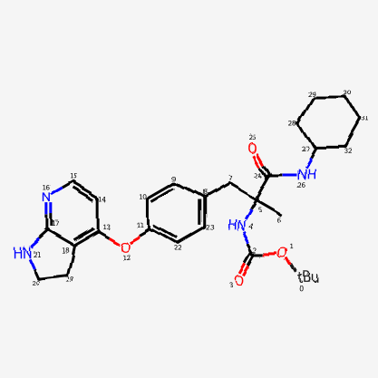 CC(C)(C)OC(=O)NC(C)(Cc1ccc(Oc2ccnc3c2CCN3)cc1)C(=O)NC1CCCCC1